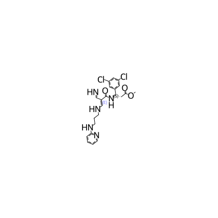 COC(=O)C[C@H](NC(=O)/C(C=N)=C/NCCCNc1ccccn1)c1cc(Cl)cc(Cl)c1